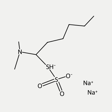 CCCCCC([SH-]S(=O)(=O)[O-])N(C)C.[Na+].[Na+]